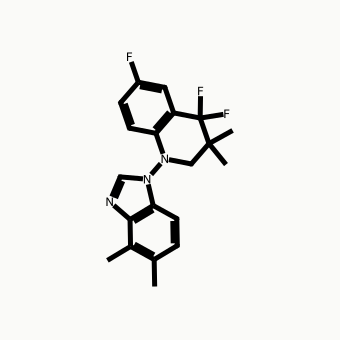 Cc1ccc2c(ncn2N2CC(C)(C)C(F)(F)c3cc(F)ccc32)c1C